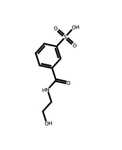 O=C(NCCO)c1cc[c]c(S(=O)(=O)O)c1